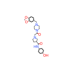 O=C(Nc1ccc(O)cc1)C1CCN(CC(=O)N2CCN(Cc3ccc4c(c3)OCO4)CC2)C1